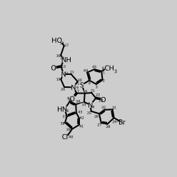 Cc1ccc(S[C@@]2(C(=O)N3CCN(C(=O)NCCO)CC3)CC(=O)N(Cc3ccc(Br)cc3)[C@H]2c2c[nH]c3cc(Cl)ccc23)cc1